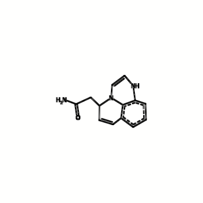 NC(=O)CC1C=Cc2cccc3c2N1C=CN3